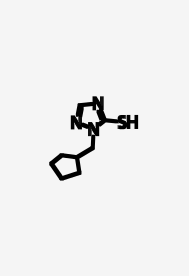 Sc1ncnn1CC1CCCC1